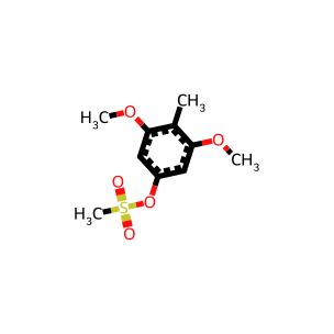 COc1cc(OS(C)(=O)=O)cc(OC)c1C